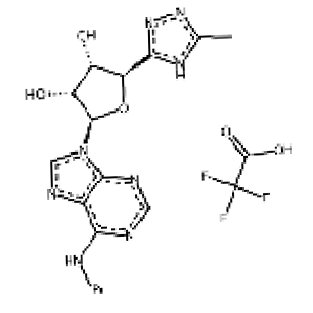 Cc1nnc([C@H]2O[C@@H](n3cnc4c(NC(C)C)ncnc43)[C@H](O)[C@@H]2O)[nH]1.O=C(O)C(F)(F)F